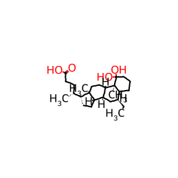 CC[C@H]1C[C@H]2[C@@H]3CC[C@H]([C@H](C)CCC(=O)O)[C@@]3(C)CC[C@@H]2[C@]2(C)[C@H]1CCCC2(O)O